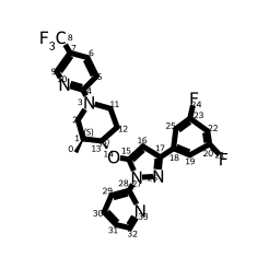 C[C@H]1CN(c2ccc(C(F)(F)F)cn2)CC[C@@H]1Oc1cc(-c2cc(F)cc(F)c2)nn1-c1ccccn1